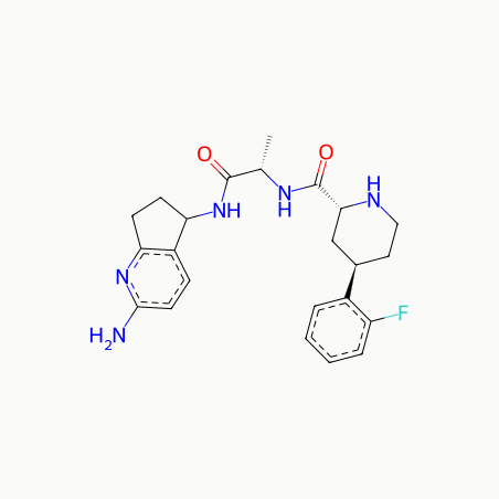 C[C@H](NC(=O)[C@H]1C[C@H](c2ccccc2F)CCN1)C(=O)NC1CCc2nc(N)ccc21